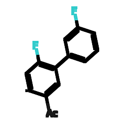 CC(=O)c1[c]cc(F)c(-c2cccc(F)c2)c1